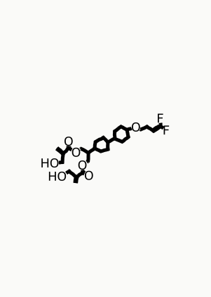 C=C(CO)C(=O)OCC(COC(=O)C(=C)CO)C1CCC(C2CCC(OCCC=C(F)F)CC2)CC1